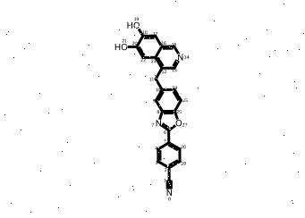 N#Cc1ccc(-c2nc3cc(Cc4cncc5cc(O)c(O)cc45)ccc3o2)cc1